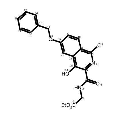 CCOC(=O)CNC(=O)c1nc(Cl)c2ccc(OCc3ccccc3)cc2c1O